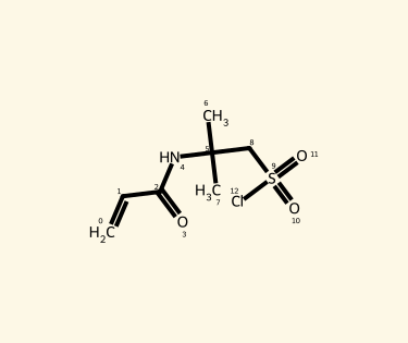 C=CC(=O)NC(C)(C)CS(=O)(=O)Cl